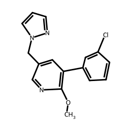 COc1ncc(Cn2cccn2)cc1-c1cccc(Cl)c1